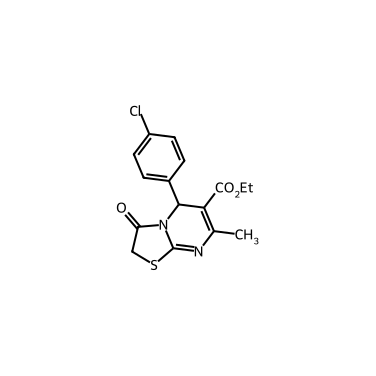 CCOC(=O)C1=C(C)N=C2SCC(=O)N2C1c1ccc(Cl)cc1